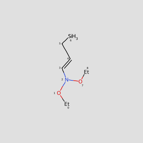 CCON(C=CC[SiH3])OCC